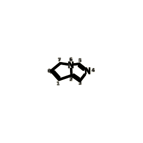 [C]1=Cc2cncn2C1